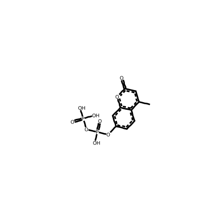 Cc1cc(=O)oc2cc(OP(=O)(O)OP(=O)(O)O)ccc12